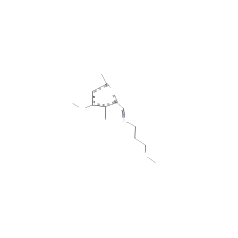 COc1cc(Cl)cc(/C=N/CCCSO)c1O